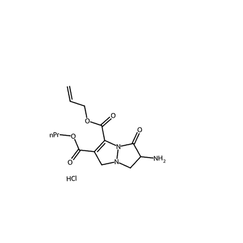 C=CCOC(=O)C1=C(C(=O)OCCC)CN2CC(N)C(=O)N12.Cl